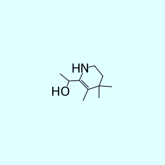 CC1=C(C(C)O)NCCC1(C)C